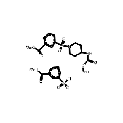 COC(=O)c1cccc(S(=O)(=O)Cl)c1.COC(=O)c1cccc(S(=O)(=O)N2CCC(NC(=O)OC(C)(C)C)CC2)c1